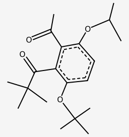 CC(=O)c1c(OC(C)C)ccc(OC(C)(C)C)c1C(=O)C(C)(C)C